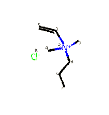 C=C[N+](C)(C)CCC.[Cl-]